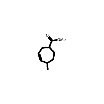 COC(=O)C1CC=CC(C)CC1